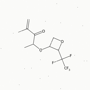 C=C(C)C(=O)C(C)OC1COC1C(F)(F)C(F)(F)F